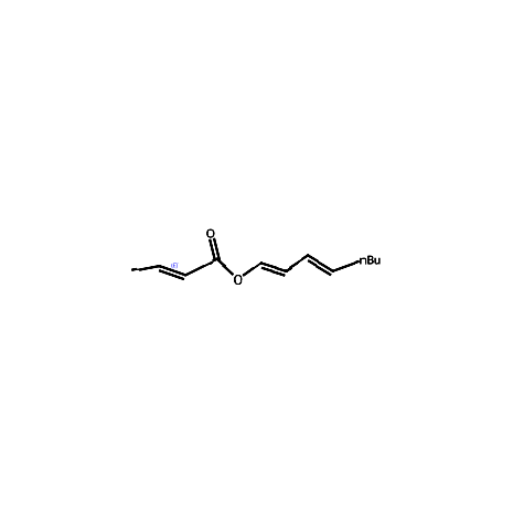 C/C=C/C(=O)OC=CC=CCCCC